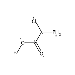 COC(=O)C(P)Cl